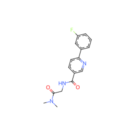 CN(C)C(=O)CNC(=O)c1ccc(-c2cccc(F)c2)nc1